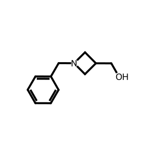 OCC1CN(Cc2ccccc2)C1